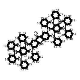 O=c1c2cc3c(cc2sc2cc4c(cc12)B1c2ccccc2N2c5ccccc5B5c6ccccc6N(c6ccccc6)c6cc(c1c2c65)N4c1ccccc1)N(c1ccccc1)c1cc2c4c5c1B3c1ccccc1N5c1ccccc1B4c1ccccc1N2c1ccccc1